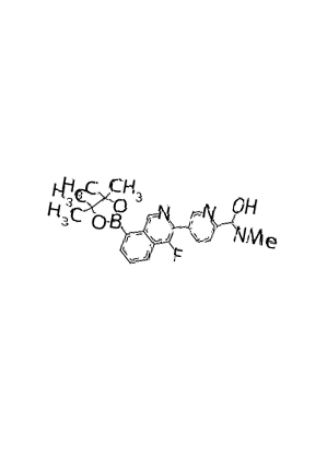 CNC(O)c1ccc(-c2ncc3c(B4OC(C)(C)C(C)(C)O4)cccc3c2F)cn1